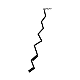 C=CC=CCCCCCCCCCCC